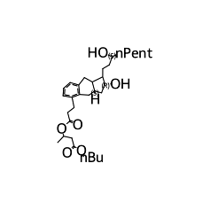 CCCCC[C@H](O)CCC1C2Cc3cccc(CCC(=O)OC(C)CC(=O)OCCCC)c3C[C@H]2C[C@H]1O